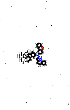 C=CC1=C(/C=C\C)c2cc(N(c3ccc4oc5ccccc5c4c3)c3cc4ccc5ccccc5n4n3)ccc2C1(C)C